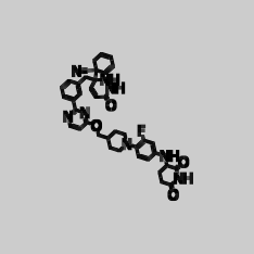 N#CC1(C2(Cc3cccc(-c4nccc(OCC5CCN(c6ccc(NC7CCC(=O)NC7=O)cc6F)CC5)n4)c3)C=CC(=O)NN2)C=CC=CC1